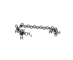 C[C@@]12Cc3[nH]nc(C(=O)Nc4cnn([C@H](c5ccccc5)C5CN(C(=O)CCOCCOCCOCCOCCOCCOCCOCCOCCNc6cccc7c6C(=O)N(C6CCC(=O)NC6=O)C7=O)C5)c4)c3[C@@H](C1)C2(F)F